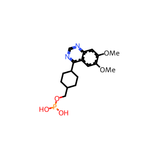 COc1cc2ncnc(C3CCC(COP(O)O)CC3)c2cc1OC